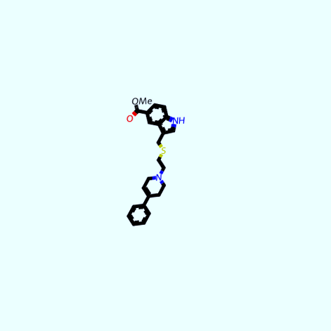 COC(=O)c1ccc2[nH]cc(CSCCN3CC=C(c4ccccc4)CC3)c2c1